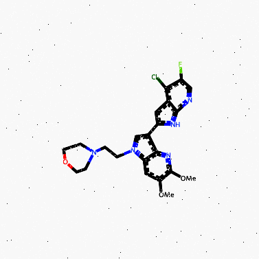 COc1cc2c(nc1OC)c(-c1cc3c(Cl)c(F)cnc3[nH]1)cn2CCN1CCOCC1